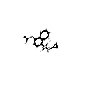 CC(C)Oc1ccc(S(=O)(=O)N[C]2CC2)c2ccccc12